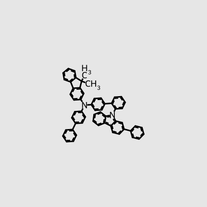 CC1(C)c2ccccc2-c2ccc(N(c3ccc(-c4ccccc4)cc3)c3ccc(-c4ccccc4-n4c5ccccc5c5ccc(-c6ccccc6)cc54)cc3)cc21